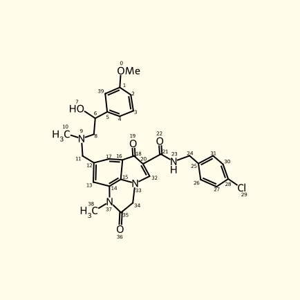 COc1cccc(C(O)CN(C)Cc2cc3c4c(c2)c(=O)c(C(=O)NCc2ccc(Cl)cc2)cn4CC(=O)N3C)c1